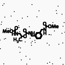 COC(=O)NCc1cccc(CNC(=O)OC(C)CNC(=O)OC)c1